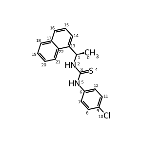 C[C@@H](NC(=S)Nc1ccc(Cl)cc1)c1cccc2ccccc12